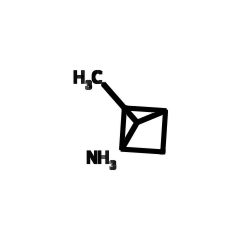 CC1C2CC1C2.N